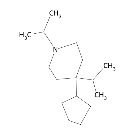 CC(C)N1CCC(C(C)C)(C2CCCC2)CC1